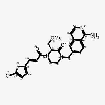 COC[C@H]1C(=O)N(Cc2ccc3c(N)nccc3c2)CCN1C(=O)C=Cc1ccc(Cl)s1